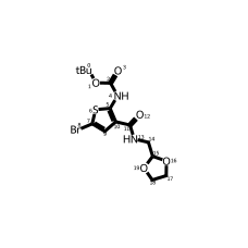 CC(C)(C)OC(=O)Nc1sc(Br)cc1C(=O)NCC1OCCO1